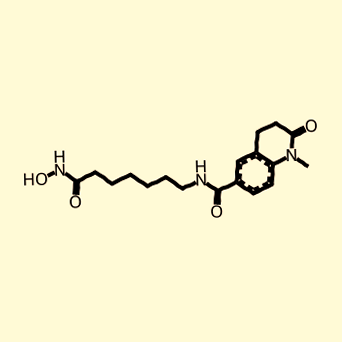 CN1C(=O)CCc2cc(C(=O)NCCCCCCC(=O)NO)ccc21